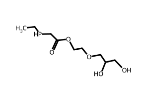 CCPCC(=O)OCCOCC(O)CO